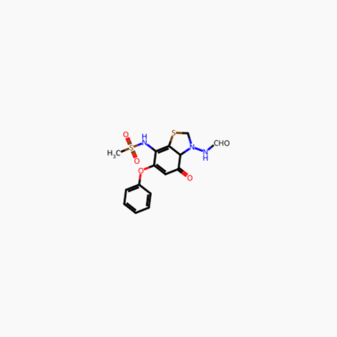 CS(=O)(=O)NC1=C2SCN(NC=O)C2C(=O)C=C1Oc1ccccc1